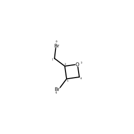 BrCC1OCC1Br